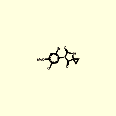 COc1cc(Br)c(N2C(=O)NC3(CC3)C2=O)cc1Cl